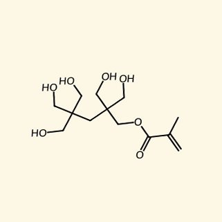 C=C(C)C(=O)OCC(CO)(CO)CC(CO)(CO)CO